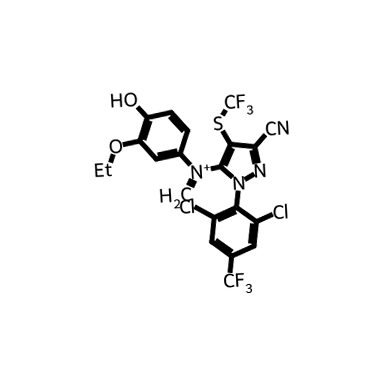 C=[N+](c1ccc(O)c(OCC)c1)c1c(SC(F)(F)F)c(C#N)nn1-c1c(Cl)cc(C(F)(F)F)cc1Cl